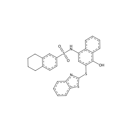 O=S(=O)(Nc1cc(Sc2nc3ccccc3s2)c(O)c2ccccc12)c1ccc2c(c1)CCCC2